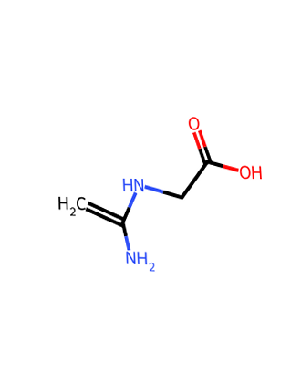 C=C(N)NCC(=O)O